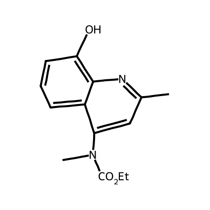 CCOC(=O)N(C)c1cc(C)nc2c(O)cccc12